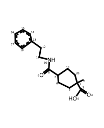 CC1(C(=O)O)CCC(C(=O)NCCc2ccccc2)CC1